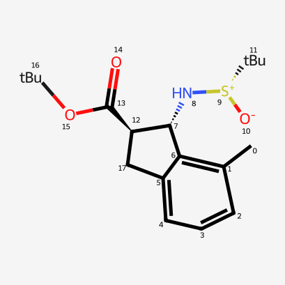 Cc1cccc2c1[C@@H](N[S@@+]([O-])C(C)(C)C)[C@H](C(=O)OC(C)(C)C)C2